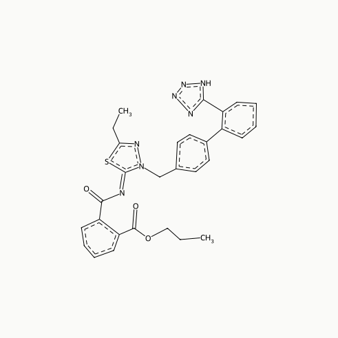 CCCOC(=O)c1ccccc1C(=O)N=c1sc(CC)nn1Cc1ccc(-c2ccccc2-c2nnn[nH]2)cc1